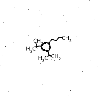 C=C(C)c1cc(CCCC)cc(C(=C)C)c1